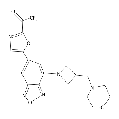 O=C(c1ncc(-c2cc(N3CC(CN4CCOCC4)C3)c3nonc3c2)o1)C(F)(F)F